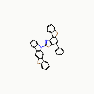 c1ccc(-c2cc3sc4ccccc4c3c3nc(-n4c5ccccc5c5cc6sc7ccccc7c6cc54)sc23)cc1